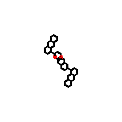 O=C1C(=O)C2c3ccc(-c4cccc5cc6ccccc6cc45)cc3C1c1ccc(-c3cccc4cc5ccccc5cc34)cc12